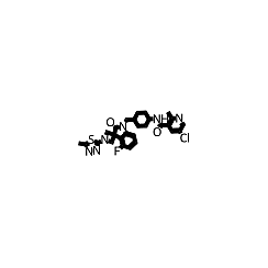 Cc1nnc(N2CC3(C2)C(=O)N(CC2CCC(NC(=O)c4cc(Cl)cnc4C)CC2)c2cccc(F)c23)s1